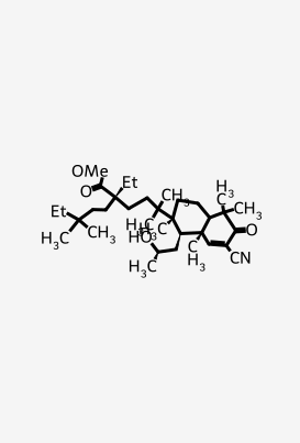 CCC(C)(C)CC[C@@](CC)(CCC(C)(C)[C@]1(C)CCC2C(C)(C)C(=O)C(C#N)=C[C@]2(C)[C@H]1C[C@@H](C)O)C(=O)OC